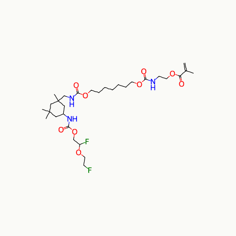 C=C(C)C(=O)OCCNC(=O)OCCCCCCCOC(=O)NCC1(C)CC(NC(=O)OCC(F)OCCF)CC(C)(C)C1